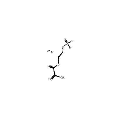 C=C(C)C(=O)OCCOP(=O)([O-])[O-].[K+].[K+]